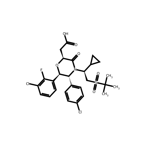 CC(C)(C)S(=O)(=O)C[C@H](C1CC1)N1C(=O)[C@H](CC(=O)O)O[C@H](c2cccc(Cl)c2F)[C@H]1c1ccc(Cl)cc1